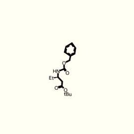 CC[C@H](CC(=O)OC(C)(C)C)NC(=O)OCc1ccccc1